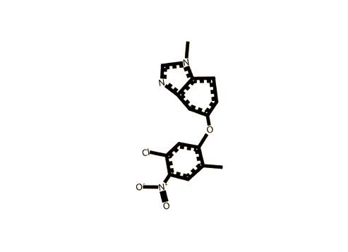 Cc1cc([N+](=O)[O-])c(Cl)cc1Oc1ccc2c(c1)ncn2C